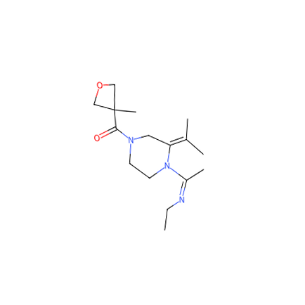 CC/N=C(/C)N1CCN(C(=O)C2(C)COC2)CC1=C(C)C